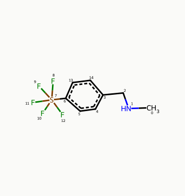 CNCc1ccc(S(F)(F)(F)(F)F)cc1